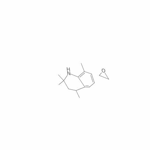 C1CO1.Cc1cccc2c1NC(C)(C)CC2C